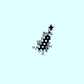 C[C@@H]1c2ccc(NC(=O)OCC(C)(C)C)c(O)c2C(=O)C2=C(O)[C@@]3(O)C(=O)C(C(N)=O)=C(O)[C@H](N(C)C)[C@H]3[C@H](O)[C@H]21